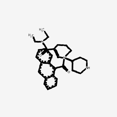 CCN(CC)C(=O)C1=C[N+](C(=O)c2c3ccccc3cc3ccccc23)(C2CCNCC2)CCC1